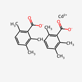 Cc1ccc(C)c(C(=O)[O-])c1C.Cc1ccc(C)c(C(=O)[O-])c1C.[Cd+2]